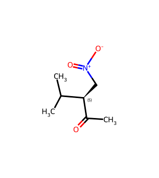 CC(=O)[C@H](C[N+](=O)[O-])C(C)C